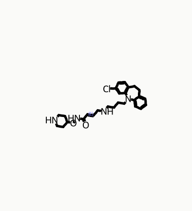 O=C(/C=C/CNCCCCN1c2ccccc2CCc2ccc(Cl)cc21)NOC1CCNCC1